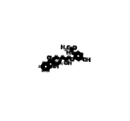 CC(=O)Nc1ccc(O)cc1OC[C@@H](O)CN1CCC2(CC1)Nc1ccccc1C2=O